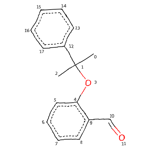 CC(C)(Oc1ccccc1C=O)c1ccccc1